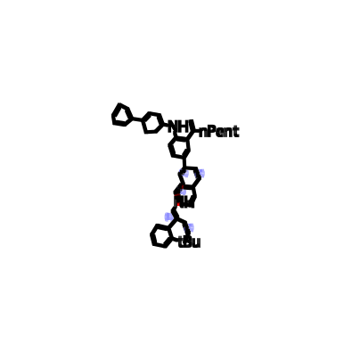 C=C(CCCCC)c1cc(C(/C=C\c2ccccc2)=C/C=C/N/C=C(\C=C/C)c2ccccc2C(C)(C)C)ccc1NC1=CC=C(c2ccccc2)CC1